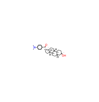 CN(C)c1ccc(C(=O)[C@H]2CC[C@H]3[C@@H]4CC[C@H]5C[C@](C)(O)CC[C@]5(C)[C@H]4CC[C@]23C)cc1